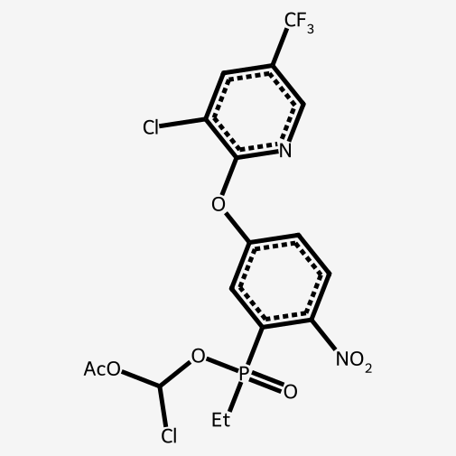 CCP(=O)(OC(Cl)OC(C)=O)c1cc(Oc2ncc(C(F)(F)F)cc2Cl)ccc1[N+](=O)[O-]